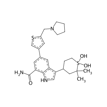 CC1(C)CC(c2c[nH]c3c(C(N)=O)cc(-c4csc(CN5CCCC5)c4)cc23)CCS1(O)O